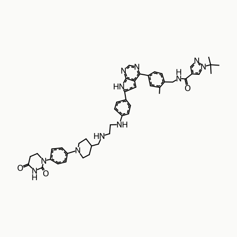 Cc1cc(-c2ncnc3[nH]c(-c4ccc(NCCNCC5CCN(c6ccc(N7CCC(=O)NC7=O)cc6)CC5)cc4)cc23)ccc1CNC(=O)c1cnn(C(C)(C)C)c1